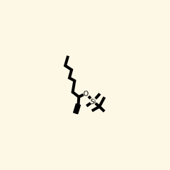 C#CC(CCCCCC)O[Si](C)(C)C(C)(C)C